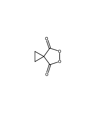 O=C1OOC(=O)C12CC2